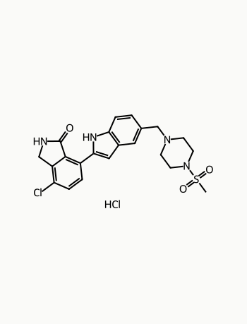 CS(=O)(=O)N1CCN(Cc2ccc3[nH]c(-c4ccc(Cl)c5c4C(=O)NC5)cc3c2)CC1.Cl